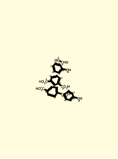 O=C(O)c1ccc(C(=O)O)cc1.O=C(O)c1cccc(C(=O)O)c1.O=CO.Oc1ccccc1.Oc1ccccc1